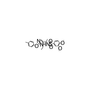 CCn1c(C(C)NS(=O)(=O)c2ccc(OC)c(OC)c2)cnc1Oc1ccc(C)cc1